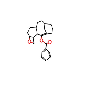 O=C(O/C1=C2\CCCC(CCC3CCC4OCC4C13)C2)c1ccccc1